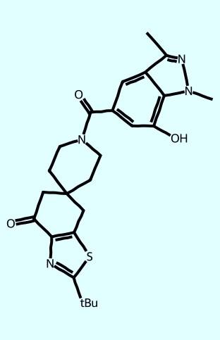 Cc1nn(C)c2c(O)cc(C(=O)N3CCC4(CC3)CC(=O)c3nc(C(C)(C)C)sc3C4)cc12